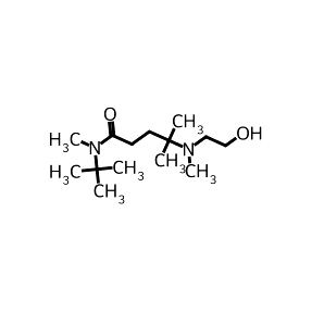 CN(C(=O)CCC(C)(C)N(C)CCO)C(C)(C)C